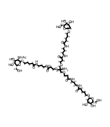 CC(=O)N[C@H]1[C@H](OCCCCC(=O)NCCCNC(=O)CCOCC(N)(COCCC(=O)NCCCNC(=O)CCCCO[C@H]2C[C@@H](O)[C@@H](O)[C@@H](CO)O2)COCCC(=O)NCCCNC(=O)CCCCO[C@H]2C[C@@H](O)[C@@H](O)[C@@H](CO)O2)O[C@H](CO)[C@H](O)[C@@H]1O